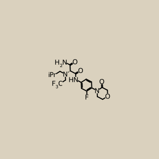 CC(C)CN(CC(F)(F)F)[C@H](C(N)=O)C(=O)Nc1ccc(N2CCOCC2=O)c(F)c1